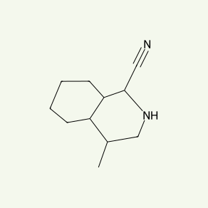 CC1CNC(C#N)C2CCCCC12